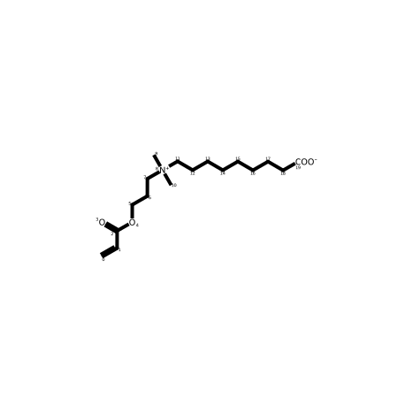 C=CC(=O)OCCC[N+](C)(C)CCCCCCCCC(=O)[O-]